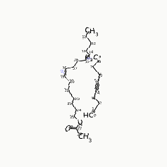 C#CCCC#CCCCC.CCCC/C=C\CC/C=C\CCCCCCOC(C)=O